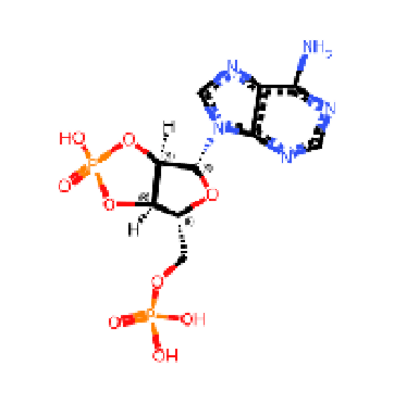 Nc1ncnc2c1ncn2[C@@H]1O[C@H](COP(=O)(O)O)[C@H]2OP(=O)(O)O[C@H]21